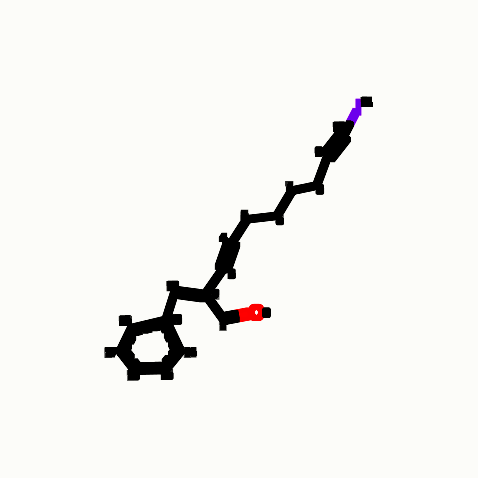 O=CC(C#CCCCCC#CI)=Cc1ccccc1